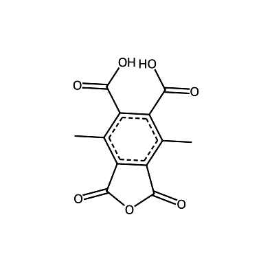 Cc1c(C(=O)O)c(C(=O)O)c(C)c2c1C(=O)OC2=O